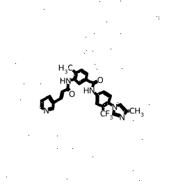 Cc1cn(-c2ccc(NC(=O)c3ccc(C)c(NC(=O)C=Cc4cccnc4)c3)cc2C(F)(F)F)cn1